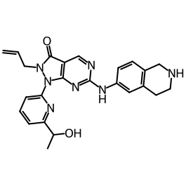 C=CCn1c(=O)c2cnc(Nc3ccc4c(c3)CCNC4)nc2n1-c1cccc(C(C)O)n1